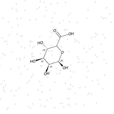 O=C(O)C1O[C@@H](O)[C@@H](O)[C@@H](O)[C@@H]1O